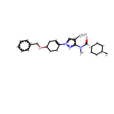 CC(C)N(c1nn(C2=CCC(OCc3ccccc3)CC2)cc1C(=O)O)C(=O)[C@H]1CC[C@H](C)CC1